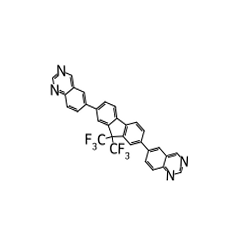 FC(F)(F)C1(C(F)(F)F)c2cc(-c3ccc4ncncc4c3)ccc2-c2ccc(-c3ccc4ncncc4c3)cc21